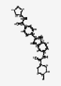 CC1CCC(C(=O)Nc2ccc3[nH]c(-c4ccc(C(=O)NC5CCCC5)cc4)nc3c2)CC1